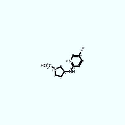 O=C(O)N1CCC(Nc2ccc(F)cn2)C1